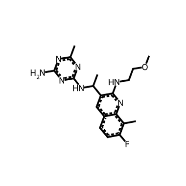 COCCNc1nc2c(C)c(F)ccc2cc1C(C)Nc1nc(C)nc(N)n1